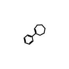 C1=C(c2ccccc2)CCCCC1